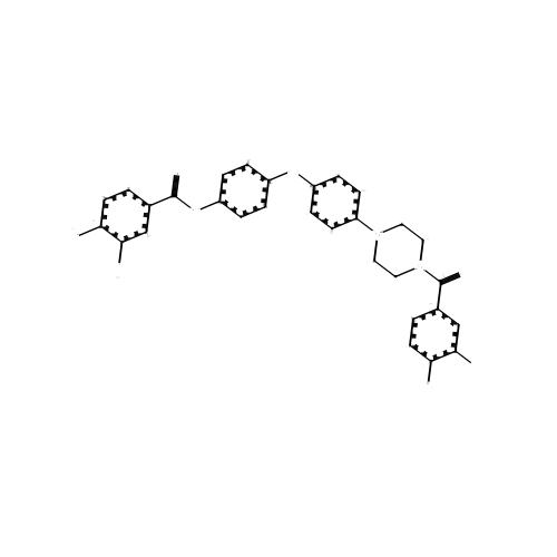 O=C(Nc1ccc(Oc2ccc(N3CCN(C(=O)c4ccc(O)c(O)c4)CC3)cc2)cc1)c1ccc(Cl)c(Cl)c1